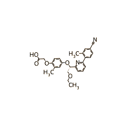 CCOC[C@H](Oc1ccc(OCC(=O)O)c(C)c1)c1cccc(-c2ccc(C#N)cc2C)n1